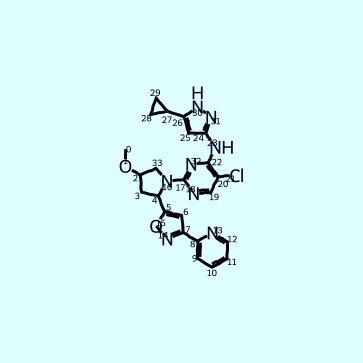 COC1CC(c2cc(-c3ccccn3)no2)N(c2ncc(Cl)c(Nc3cc(C4CC4)[nH]n3)n2)C1